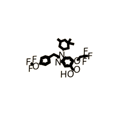 CC1C[C@@H](n2c(Cc3ccc(OC(F)(F)F)cc3)nc3cc(C(=O)O)c(OCC(F)(F)F)cc32)CC(C)(C)C1